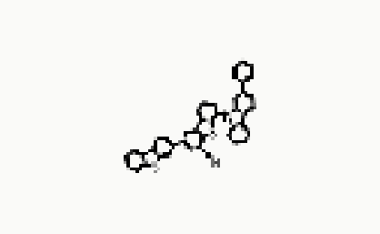 N#Cc1cc(-c2ccc3c(c2)sc2ccccc23)cc2c1sc1c(-n3c4ccccc4c4ccc(-c5ccccc5)cc43)cccc12